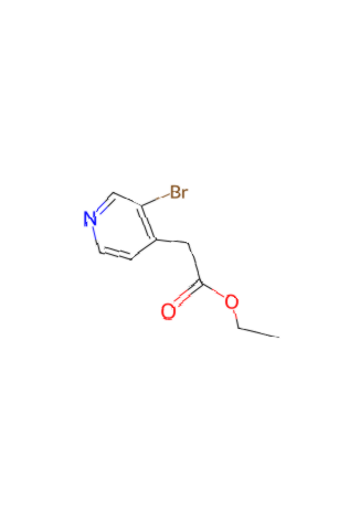 CCOC(=O)Cc1ccncc1Br